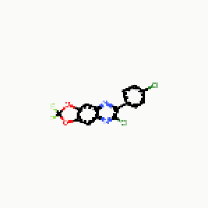 FC1(F)Oc2cc3nc(Cl)c(-c4ccc(Cl)cc4)nc3cc2O1